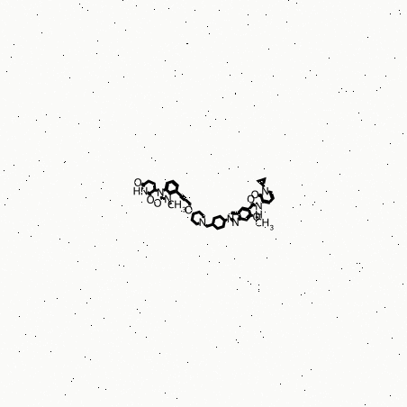 COc1cc2nn(C3CCC(CN4CCC(OCC#Cc5cccc6c5n(C)c(=O)n6C5CCC(=O)NC5=O)CC4)CC3)cc2cc1C(=O)Nc1cccn(C2CC2)c1=O